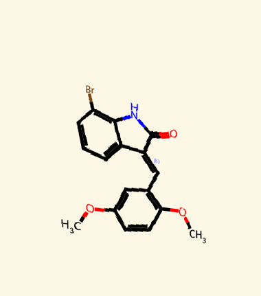 COc1ccc(OC)c(/C=C2/C(=O)Nc3c(Br)cccc32)c1